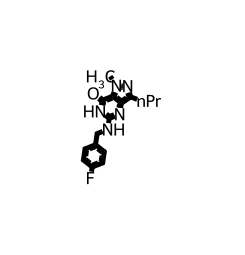 CCCc1nn(C)c2c(=O)[nH]c(NCc3ccc(F)cc3)nc12